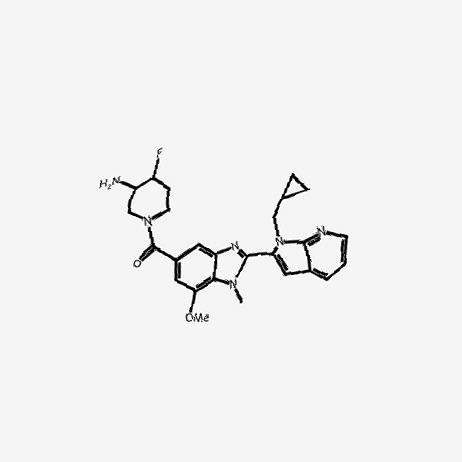 COc1cc(C(=O)N2CCC(F)C(N)C2)cc2nc(-c3cc4cccnc4n3CC3CC3)n(C)c12